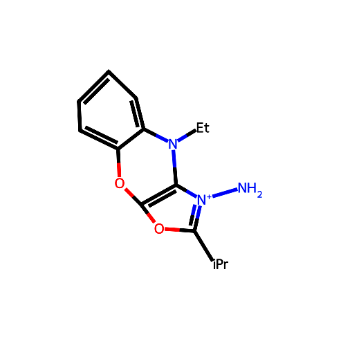 CCN1c2ccccc2Oc2oc(C(C)C)[n+](N)c21